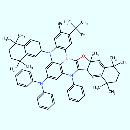 CCC(C)(C)c1cc2c(cc1C(C)C)N(C1C=C3C(=CC1)C(C)(C)CCC3(C)C)c1cc(N(c3ccccc3)c3ccccc3)cc3c1B2C1=C(C2C=C4C(=CC2(C)O1)C(C)(C)CCC4(C)C)N3c1ccccc1